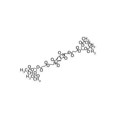 C=C(C)C(=O)OCC(COC(=O)C(=C)C)OC(=O)CCC(=O)OCCn1c(=O)c2cc3c(=O)n(CCOC(=O)CCC(=O)OC(COC(=O)C(=C)C)COC(=O)C(=C)C)c(=O)c3cc2c1=O